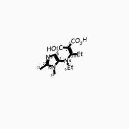 CCC(=C(C(=O)O)C(=O)O)N(CC)c1cnc(C)n1C